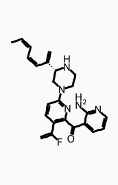 C=C(F)c1ccc(N2CCN[C@@H](C(=C)/C=C\C=C/C)C2)nc1C(=O)c1cccnc1N